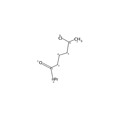 CCCC(=O)CCCC(C)Cl